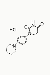 Cl.O=C1CCN(c2ccc(N3CCCCC3)cc2)C(=O)N1